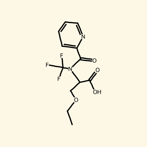 CCOCC(C(=O)O)N(C(=O)c1ccccn1)C(F)(F)F